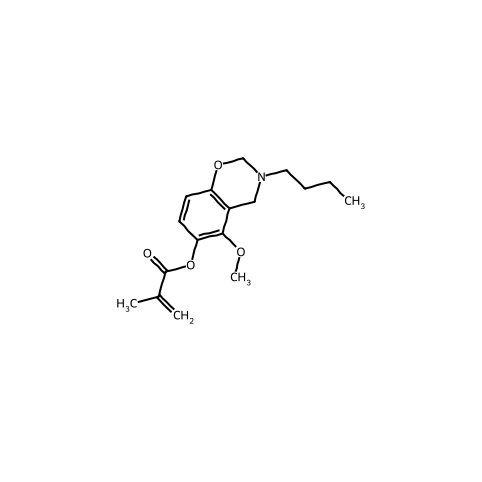 C=C(C)C(=O)Oc1ccc2c(c1OC)CN(CCCC)CO2